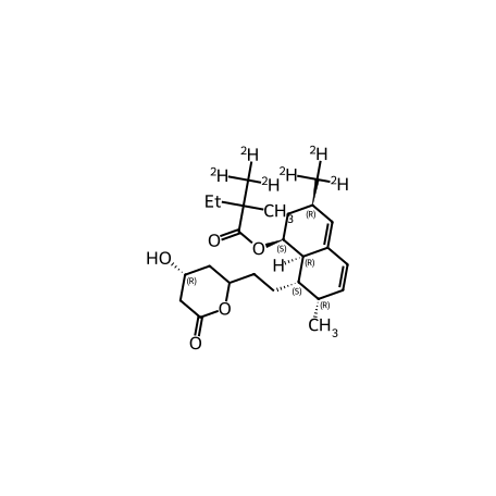 [2H]C([2H])([2H])[C@H]1C=C2C=C[C@H](C)[C@H](CCC3C[C@@H](O)CC(=O)O3)[C@H]2[C@@H](OC(=O)C(C)(CC)C([2H])([2H])[2H])C1